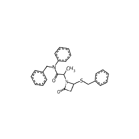 CC(C(=O)N(Cc1ccccc1)c1ccccc1)N1C(=O)CC1SCc1ccccc1